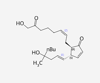 CCCCC(C)(O)C/C=C/[C@H]1C=CC(=O)[C@@H]1C/C=C\CCCC(=O)CO